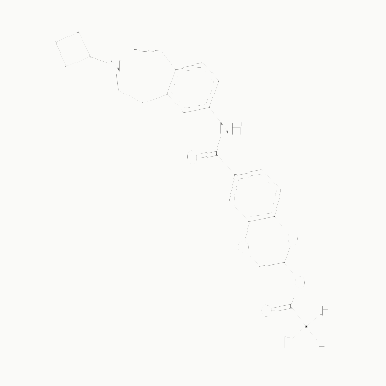 O=C(Nc1ccc2c(c1)CCN(C1CCC1)CC2)c1ccc2c(c1)OCC(OC(=O)C(F)(F)F)O2